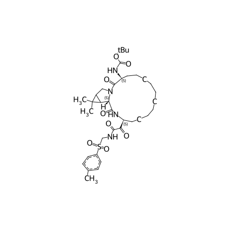 Cc1ccc(S(=O)(=O)CNC(=O)C(=O)[C@@H]2CCCCCCCCCC[C@H](NC(=O)OC(C)(C)C)C(=O)N3CC4C([C@H]3C(=O)N2)C4(C)C)cc1